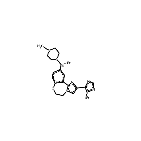 CC[C@H](c1ccc2c(c1)-c1nc(-c3ncnn3C(C)C)cn1CCO2)N1CCN(C)CC1